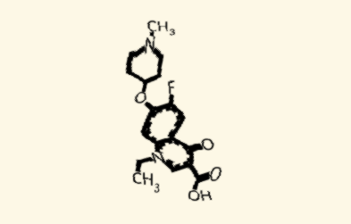 CCn1cc(C(=O)O)c(=O)c2cc(F)c(OC3CCN(C)CC3)cc21